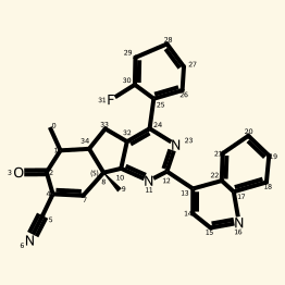 CC1C(=O)C(C#N)=C[C@@]2(C)c3nc(-c4ccnc5ccccc45)nc(-c4ccccc4F)c3CC12